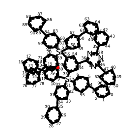 c1ccc(-c2ccc([Si](c3ccc(-c4ccccc4)cc3)(c3ccc(-c4ccccc4)cc3)c3cc(-c4nc(-c5ccccc5)nc(-c5ccccc5)n4)cc([Si](c4ccc(-c5ccccc5)cc4)(c4ccc(-c5ccccc5)cc4)c4ccc(-c5ccccc5)cc4)c3)cc2)cc1